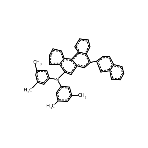 Cc1cc(C)cc(N(c2cc(C)cc(C)c2)c2cc3cc(-c4ccc5ccccc5c4)c4ccccc4c3c3ccccc23)c1